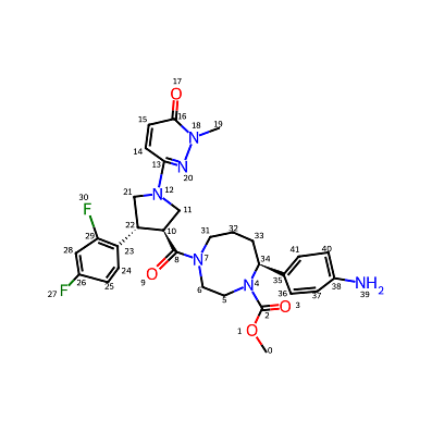 COC(=O)N1CCN(C(=O)[C@@H]2CN(c3ccc(=O)n(C)n3)C[C@H]2c2ccc(F)cc2F)CCC[C@H]1c1ccc(N)cc1